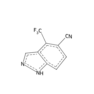 N#Cc1ccc2[nH]ncc2c1C(F)(F)F